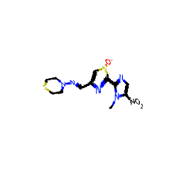 Cn1c([N+](=O)[O-])cnc1-c1nc(C=NN2CCSCC2)c[s+]1[O-]